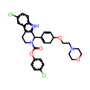 O=C(Oc1ccc(Cl)cc1)N1CCc2c([nH]c3ccc(Cl)cc23)C1C1=CCC(OCCN2CCOCC2)C=C1